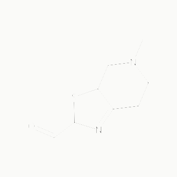 CN1CCC2=NC(C=O)SC2C1